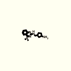 CN(C)c1nc(NCC2CCC(N)C2)nc2ccccc12